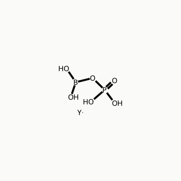 O=P(O)(O)OB(O)O.[Y]